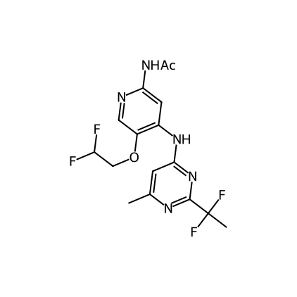 CC(=O)Nc1cc(Nc2cc(C)nc(C(C)(F)F)n2)c(OCC(F)F)cn1